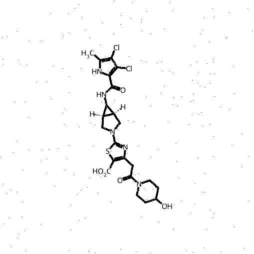 Cc1[nH]c(C(=O)NC2[C@H]3CN(c4nc(CC(=O)N5CCC(O)CC5)c(C(=O)O)s4)C[C@@H]23)c(Cl)c1Cl